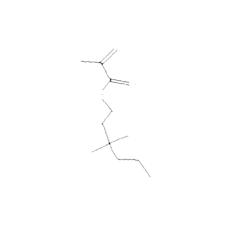 C=C(C)C(=O)OCCC(C)(C)CCC